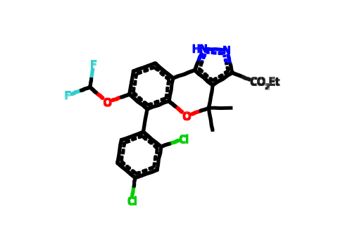 CCOC(=O)c1n[nH]c2c1C(C)(C)Oc1c-2ccc(OC(F)F)c1-c1ccc(Cl)cc1Cl